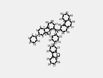 c1ccc(-c2ccc3c(c2)oc2c(N(c4ccc(-c5ccc6c(c5)oc5ccccc56)cc4)c4ccc5ccc6ccccc6c5c4)cccc23)cc1